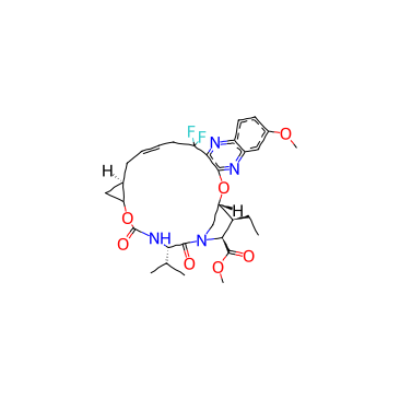 CC[C@@H]1[C@@H]2CN(C(=O)[C@H](C(C)C)NC(=O)OC3C[C@H]3CC=CCC(F)(F)c3nc4ccc(OC)cc4nc3O2)[C@@H]1C(=O)OC